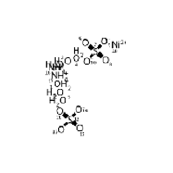 O.O.O.O.O.O.O=S(=O)([O-])[O-].O=S(=O)([O-])[O-].[NH4+].[NH4+].[Ni+2]